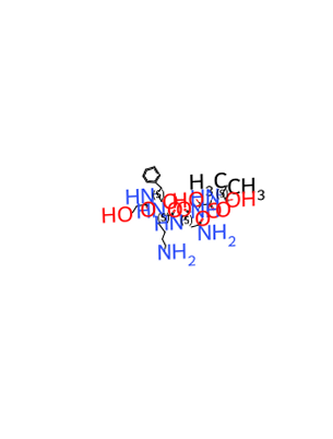 CC(C)[C@H](NC(=O)C(O)NC(=O)[C@H](CC(N)=O)NC(=O)[C@H](CCCCN)NC(=O)[C@H](Cc1ccccc1)NC(=O)CCO)C(=O)O